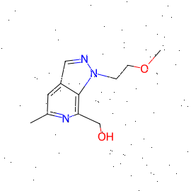 COCCn1ncc2cc(C)nc(CO)c21